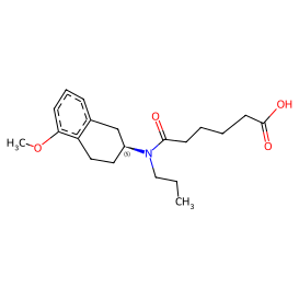 CCCN(C(=O)CCCCC(=O)O)[C@H]1CCc2c(cccc2OC)C1